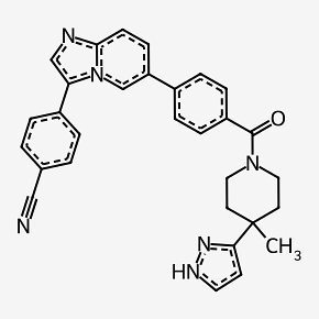 CC1(c2cc[nH]n2)CCN(C(=O)c2ccc(-c3ccc4ncc(-c5ccc(C#N)cc5)n4c3)cc2)CC1